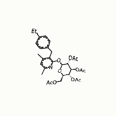 CCc1ccc(Cc2c(C)cc(C)nc2O[C@@H]2O[C@H](COC(C)=O)[C@@H](OC(C)=O)[C@H](OC(C)=O)[C@H]2OC(C)=O)cc1